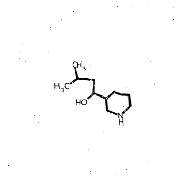 CC(C)CC(O)C1CCCNC1